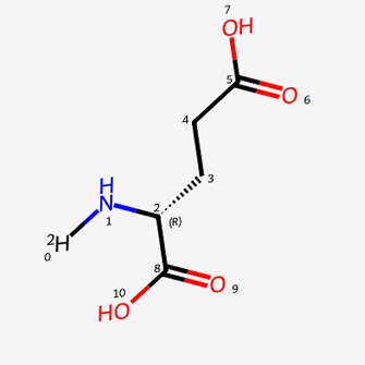 [2H]N[C@H](CCC(=O)O)C(=O)O